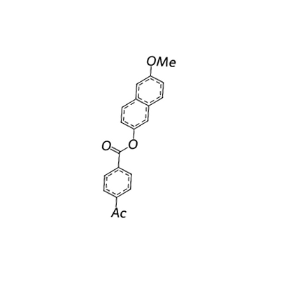 COc1ccc2cc(OC(=O)c3ccc(C(C)=O)cc3)ccc2c1